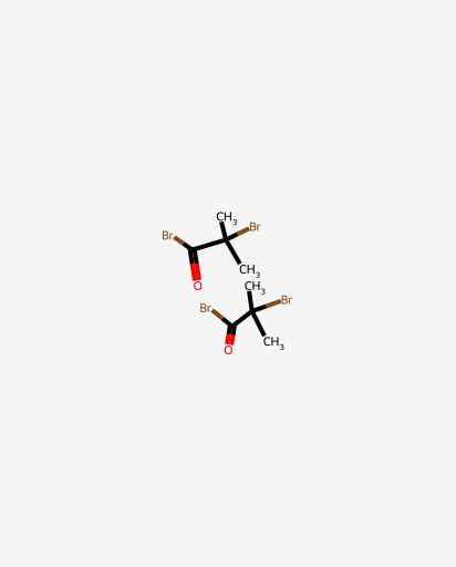 CC(C)(Br)C(=O)Br.CC(C)(Br)C(=O)Br